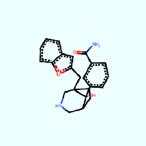 NC(=O)c1cccc(C2(O)C3CCC2(Cc2cc4ccccc4o2)CNC3)c1